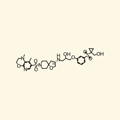 Cc1c(S(=O)(=O)N2CCC3(CC2)C[C@H](NCC(O)COc2cccc(S(=O)(=O)C4(CO)CC4)c2)CO3)cnc2c1N(C)CCO2